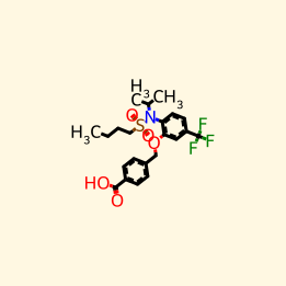 CCCCS(=O)(=O)N(c1ccc(C(F)(F)F)cc1OCc1ccc(C(=O)O)cc1)C(C)C